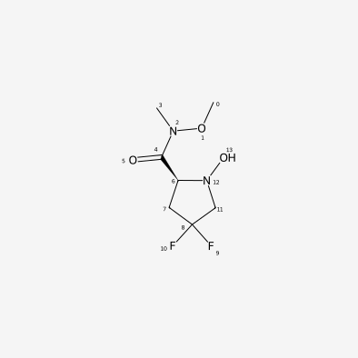 CON(C)C(=O)[C@@H]1CC(F)(F)CN1O